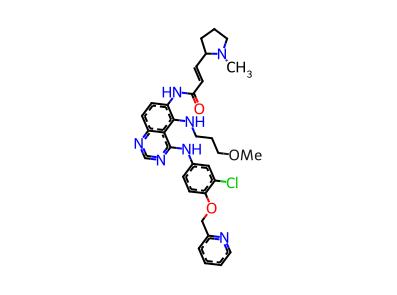 COCCCNc1c(NC(=O)/C=C/C2CCCN2C)ccc2ncnc(Nc3ccc(OCc4ccccn4)c(Cl)c3)c12